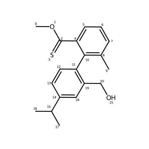 COC(=S)c1cccc(C)c1-c1ccc(C(C)C)cc1CO